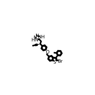 CC#C[C@@H](CC1NN=NN1)c1ccc(OCc2ccc3sc(Br)c(-c4ccccc4C)c3c2)cc1